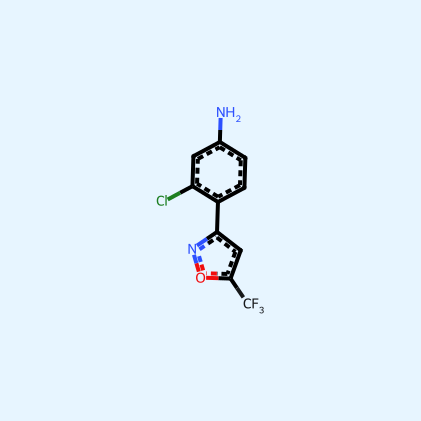 Nc1ccc(-c2cc(C(F)(F)F)on2)c(Cl)c1